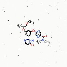 COCC(C)Oc1cc(Oc2cnc(C(=O)N(C)C)cn2)cc(-c2nccc(=O)[nH]2)c1